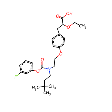 CCOC(Cc1ccc(OCCN(CCC(C)(C)C)C(=O)Oc2cccc(F)c2)cc1)C(=O)O